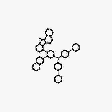 c1ccc(-c2ccc(N(c3ccc(-c4ccccc4)cc3)c3ccc(-c4cccc5oc6c7ccccc7ccc6c45)c(-c4ccc5ccccc5c4)c3)cc2)cc1